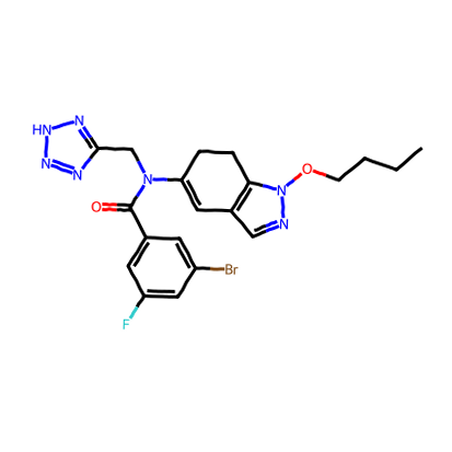 CCCCOn1ncc2c1CCC(N(Cc1nn[nH]n1)C(=O)c1cc(F)cc(Br)c1)=C2